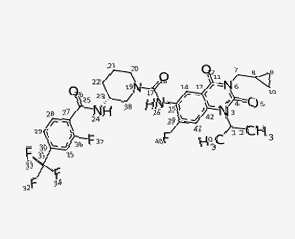 CC(C)n1c(=O)n(CC2CC2)c(=O)c2cc(NC(=O)N3CCC[C@@H](NC(=O)c4ccc(C(F)(F)F)cc4F)C3)c(F)cc21